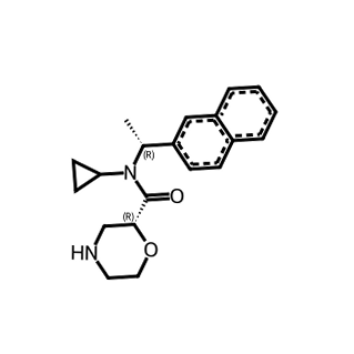 C[C@H](c1ccc2ccccc2c1)N(C(=O)[C@H]1CNCCO1)C1CC1